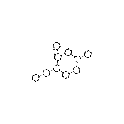 c1ccc(-c2ccc(-c3cc(-c4cccc(-c5cccc(-c6nc(-c7ccccc7)nc(-c7ccccc7)n6)c5)c4)nc(-c4ccc5c(c4)oc4ccccc45)n3)cc2)cc1